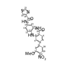 COc1cc(-c2ccc3c(c2)Nc2ccc(NC(=O)c4cscn4)cc2NC3=O)ccc1[N+](=O)[O-]